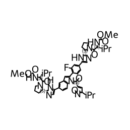 COC(=O)N[C@H](C(=O)N1CCC[C@H]1c1ncc(-c2cc(F)c3c(c2)O[C@@H](c2cc(C(C)C)no2)n2c-3cc3cc(-c4cnc([C@@H]5CCCN5C(=O)[C@@H](NC(=O)OC)C(C)C)[nH]4)ccc32)[nH]1)C(C)C